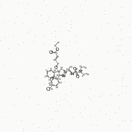 CCOC(=O)/C=C/COC1(c2ccccc2)CN(/C(C)=N/S(=O)(=O)N(CC)CC)N=C1c1ccc(Cl)cc1